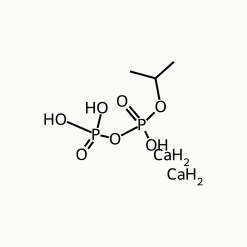 CC(C)OP(=O)(O)OP(=O)(O)O.[CaH2].[CaH2]